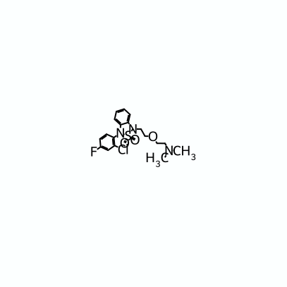 CN(C)CCOCCN1c2ccccc2N(c2ccc(F)cc2Cl)S1(=O)=O